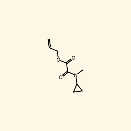 C=CCOC(=O)C(=O)N(C)C1CC1